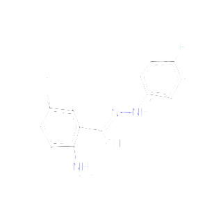 C/C(=N\Nc1ccc(F)cc1)c1cc(Cl)ccc1N